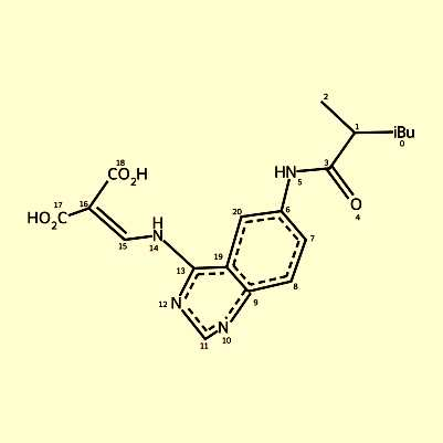 CCC(C)C(C)C(=O)Nc1ccc2ncnc(NC=C(C(=O)O)C(=O)O)c2c1